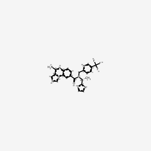 C[C@H](c1nccs1)N(Cc1ccc(C(F)(F)F)cn1)C(=O)c1ccc2nc(N)c3cncn3c2c1